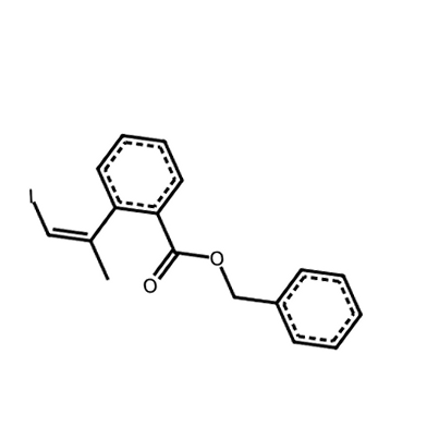 C/C(=C/I)c1ccccc1C(=O)OCc1ccccc1